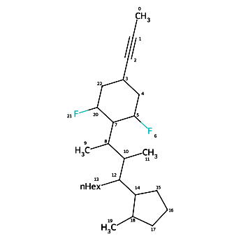 CC#CC1CC(F)C(C(C)C(C)C(CCCCCC)C2CCCC2C)C(F)C1